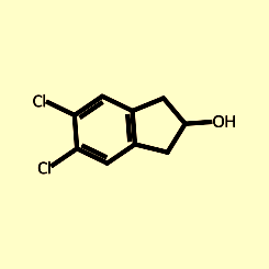 OC1Cc2cc(Cl)c(Cl)cc2C1